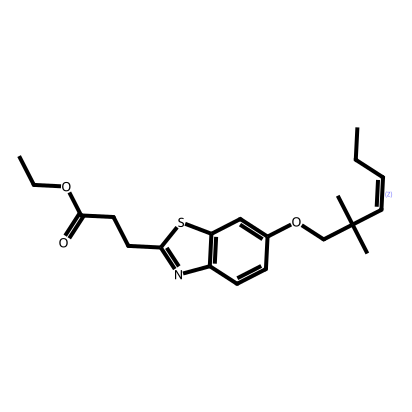 CC/C=C\C(C)(C)COc1ccc2nc(CCC(=O)OCC)sc2c1